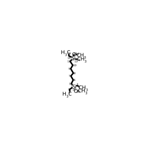 CC[Si](CC)(CCCCCCC[Si](CC)(CC)OC)OC